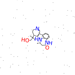 C[C@@H]1CC(=O)Nc2cccc(C3=C[C@@H](C(C)(C)CO)CCN=C3)c2N1